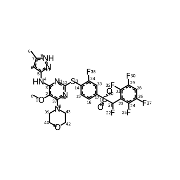 COc1c(Nc2cc(C)[nH]n2)nc(Sc2ccc(S(=O)(=O)C(F)c3c(F)c(F)cc(F)c3F)cc2F)nc1N1CCOCC1